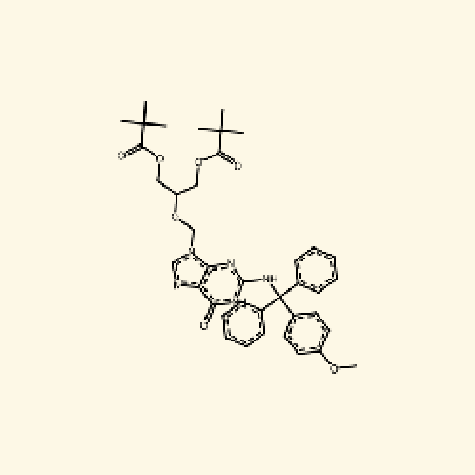 COc1ccc(C(Nc2nc3c(ncn3COC(COC(=O)C(C)(C)C)COC(=O)C(C)(C)C)c(=O)[nH]2)(c2ccccc2)c2ccccc2)cc1